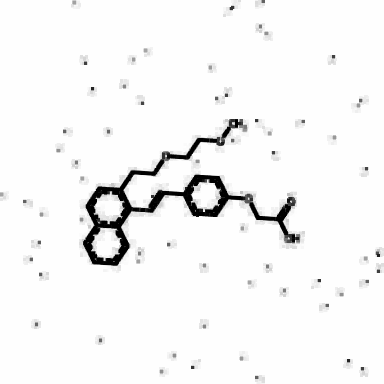 COCCOCCc1ccc2ccccc2c1/C=C/c1ccc(OCC(=O)O)cc1